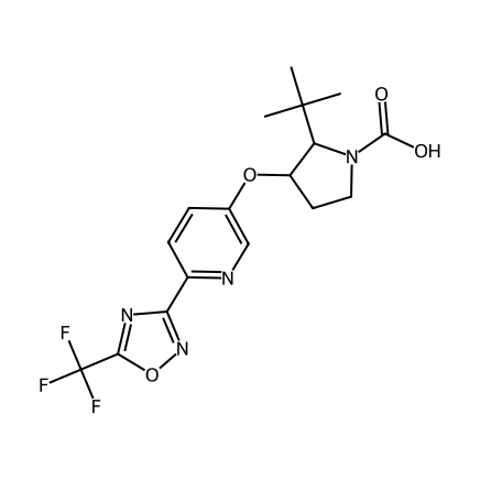 CC(C)(C)C1C(Oc2ccc(-c3noc(C(F)(F)F)n3)nc2)CCN1C(=O)O